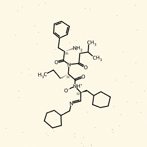 CCC[C@@H](C(=O)[NH+]([O-])[C@H](C=NCC1CCCCC1)CC1CCCCC1)N(C(=O)CC(C)C)C(=O)[C@@H](N)Cc1ccccc1